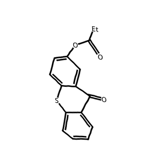 CCC(=O)Oc1ccc2sc3ccccc3c(=O)c2c1